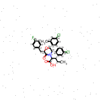 CCCC(C(=O)O)N1C(=O)[C@@H](Cc2ccc(F)cc2)O[C@H](c2ccc(Cl)cc2C)[C@@H]1c1ccc(Cl)cc1